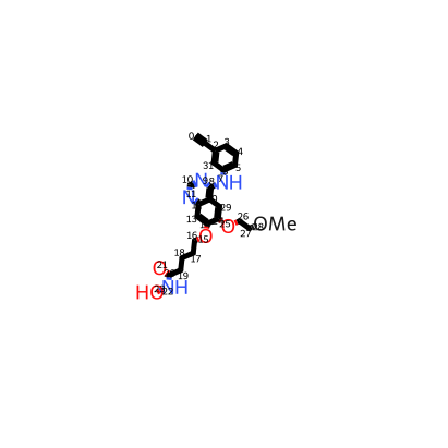 C#Cc1cccc(Nc2ncnc3cc(OCCCCC(=O)NO)c(OCCOC)cc23)c1